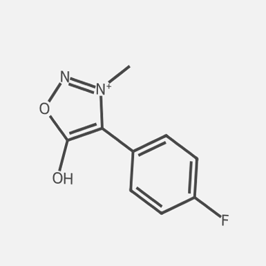 C[n+]1noc(O)c1-c1ccc(F)cc1